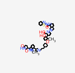 Cc1c(OC2CCC(CCCN3CCC(c4cccc5c(C6CCC(=O)NC6=O)nn(C)c45)C3)CC2)cccc1-c1ccc(N2CCc3cccc(C(=O)Nc4nc5ccccc5s4)c3C2)nc1C(O)O